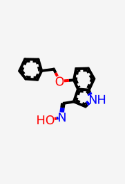 ON=Cc1c[nH]c2cccc(OCc3ccccc3)c12